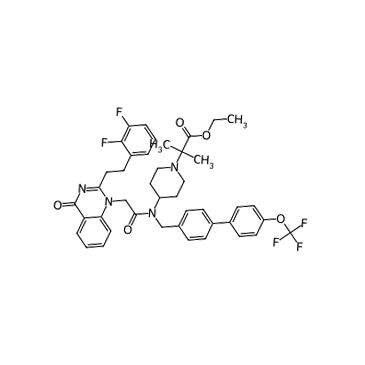 CCOC(=O)C(C)(C)N1CCC(N(Cc2ccc(-c3ccc(OC(F)(F)F)cc3)cc2)C(=O)Cn2c(CCc3cccc(F)c3F)nc(=O)c3ccccc32)CC1